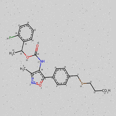 Cc1noc(-c2ccc(CSCCC(=O)O)cc2)c1NC(=O)OC(C)c1ccccc1F